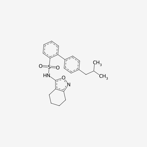 CC(C)Cc1ccc(-c2ccccc2S(=O)(=O)Nc2onc3c2CCCC3)cc1